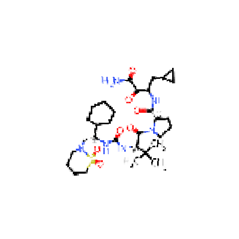 CC(C)(C)[C@H](NC(=O)N[C@H](CN1CCCCS1(=O)=O)C1CCCCC1)C(=O)N1CCC[C@H]1C(=O)NC(CC1CC1)C(=O)C(N)=O